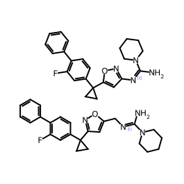 N/C(=N/c1cc(C2(c3ccc(-c4ccccc4)c(F)c3)CC2)on1)N1CCCCC1.N/C(=N\Cc1cc(C2(c3ccc(-c4ccccc4)c(F)c3)CC2)no1)N1CCCCC1